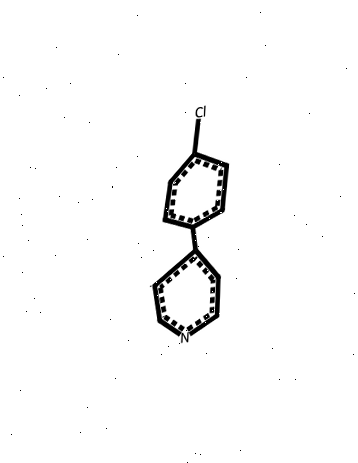 Clc1ccc(-c2[c]cncc2)cc1